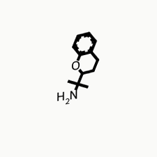 CC(C)(N)C1CCc2ccccc2O1